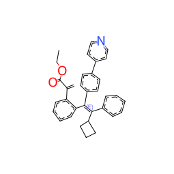 C=C(C(=O)OCC)c1ccccc1/C(=C(/c1ccccc1)C1CCC1)c1ccc(-c2ccncc2)cc1